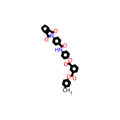 Cc1ccc(OC(=O)c2cccc(C(=O)Oc3ccc(NC(=O)c4ccc(N5C(=O)C6C7CCC(C7)C6C5=O)cc4)cc3)c2)cc1